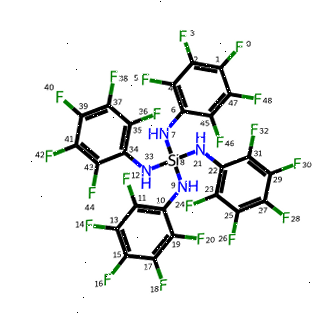 Fc1c(F)c(F)c(N[Si](Nc2c(F)c(F)c(F)c(F)c2F)(Nc2c(F)c(F)c(F)c(F)c2F)Nc2c(F)c(F)c(F)c(F)c2F)c(F)c1F